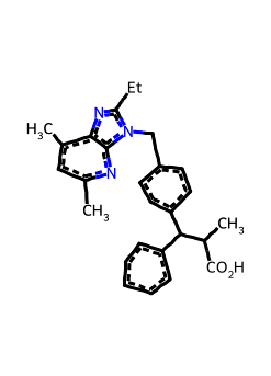 CCc1nc2c(C)cc(C)nc2n1Cc1ccc(C(c2ccccc2)C(C)C(=O)O)cc1